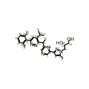 Cc1cc(-c2cncc(C(C)c3nnc(-c4c(F)cccc4F)cc3C(C)C)n2)nn1C[C@H](O)CO